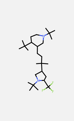 CC(C)(C)C1CCN(C(C)(C)C)CC1CCC(C)(C)C1CC(C(F)(F)F)N(C(C)(C)C)C1